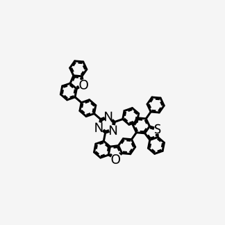 c1ccc(-c2nc(-c3ccc(-c4cccc5c4oc4ccccc45)cc3)nc(-c3cccc4oc5ccc(-c6ccc(-c7ccccc7)c7sc8ccccc8c67)cc5c34)n2)cc1